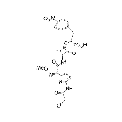 CO/N=C(\C(=O)N[C@@H]1C(=O)N(OC(Cc2ccc([N+](=O)[O-])cc2)C(=O)O)[C@H]1C)c1csc(NC(=O)CCl)n1